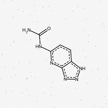 NC(=O)Nc1ccc2[nH]nnc2n1